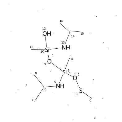 CSO[Si](C)(NC(C)C)O[Si](C)(O)NC(C)C